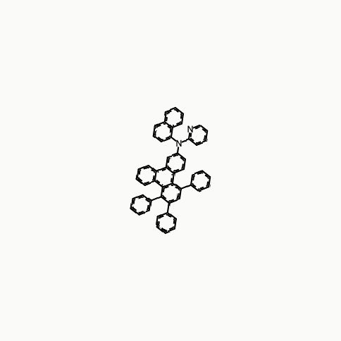 c1ccc(-c2cc(-c3ccccc3)c3c4ccc(N(c5ccccn5)c5cccc6ccccc56)cc4c4ccccc4c3c2-c2ccccc2)cc1